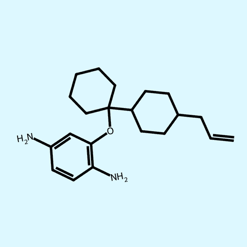 C=CCC1CCC(C2(Oc3cc(N)ccc3N)CCCCC2)CC1